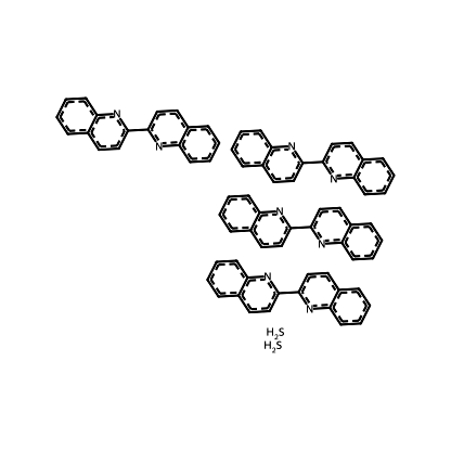 S.S.c1ccc2nc(-c3ccc4ccccc4n3)ccc2c1.c1ccc2nc(-c3ccc4ccccc4n3)ccc2c1.c1ccc2nc(-c3ccc4ccccc4n3)ccc2c1.c1ccc2nc(-c3ccc4ccccc4n3)ccc2c1